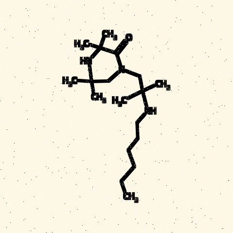 CCCCCCNC(C)(C)CN1CC(C)(C)NC(C)(C)C1=O